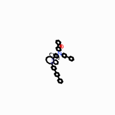 C=C1CCCCC/C(c2ccc(-c3ccc(-c4ccccc4)cc3)cc2)=C2/CCCC/C2=C/1c1ccc(N(c2ccc(-c3ccccc3)cc2)c2ccc3c(c2)oc2ccccc23)cc1